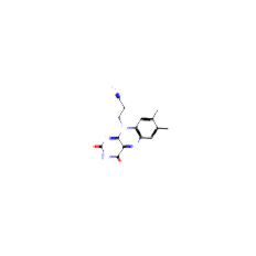 Cc1cc2nc3c(=O)[nH]c(=O)nc-3n(CCC#N)c2cc1C